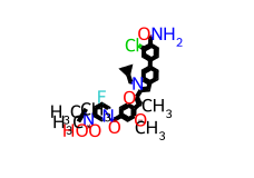 COc1cc(C(=O)N2C[C@H](F)C[C@@H](N(C(=O)O)C(C)(C)C)C2)cc2oc(-c3cc4ccc(-c5ccc(C(N)=O)c(Cl)c5)cc4n3CC3CC3)c(C)c12